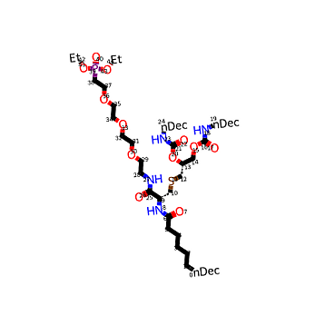 CCCCCCCCCCCCCCCC(=O)N[C@@H](CSC[C@@H](COC(=O)NCCCCCCCCCC)OC(=O)NCCCCCCCCCC)C(=O)NCCOCCOCCOCCP(=O)(OCC)OCC